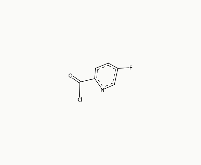 O=C(Cl)c1ccc(F)cn1